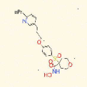 CCCc1ccc(CCCOc2ccc(S(=O)(=O)C3(C(=O)NO)CCOCC3)cc2)cn1